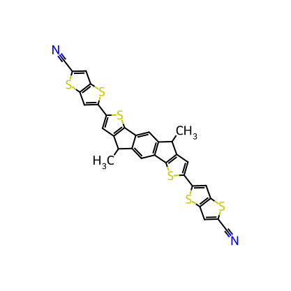 CC1c2cc3c(cc2-c2sc(-c4cc5sc(C#N)cc5s4)cc21)C(C)c1cc(-c2cc4sc(C#N)cc4s2)sc1-3